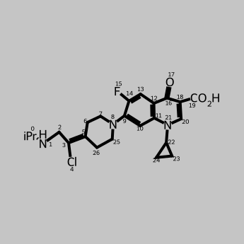 CC(C)NCC(Cl)=C1CCN(c2cc3c(cc2F)c(=O)c(C(=O)O)cn3C2CC2)CC1